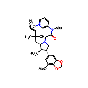 C/C=C/C(C)(C)C[C@H]1[C@H](C(=O)O)[C@@H](c2cc(OC)c3c(c2)OCO3)CN1CC(=O)N(CCCC)c1ccc[n+](C)c1